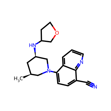 C[C@H]1C[C@@H](NC2CCOC2)CN(c2ccc(C#N)c3ncccc23)C1